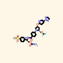 CCS(=O)(=O)c1ccc([C@H](COC(N)=O)NC(=O)c2ccc(N3C[C@@H](Oc4ccc(-n5nccn5)cn4)C[C@H]3COC(F)F)cc2)cc1